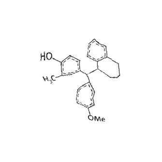 COc1ccc(C(c2ccc(O)c(C)c2)C2CCCc3ccccc32)cc1